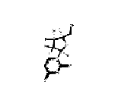 O=c1ccn([C@]2(F)O[C@](F)(CO)[C@](O)(F)C2(F)F)c(=O)[nH]1